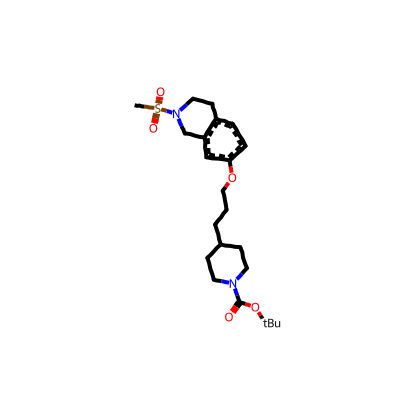 CC(C)(C)OC(=O)N1CCC(CCCOc2ccc3c(c2)CN(S(C)(=O)=O)CC3)CC1